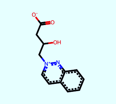 O=C([O-])CC(O)C[n+]1ccc2ccccc2n1